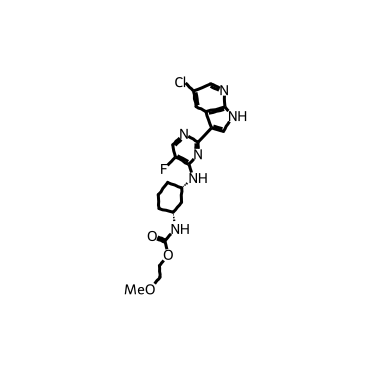 COCCOC(=O)N[C@@H]1CCC[C@H](Nc2nc(-c3c[nH]c4ncc(Cl)cc34)ncc2F)C1